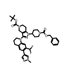 Cn1cc(-c2cc3c(cc2C(F)F)N(c2nn(C4CCN(C(=O)OCc5ccccc5)CC4)c4c2CN(C(=O)OC(C)(C)C)CC4)CCC3)cn1